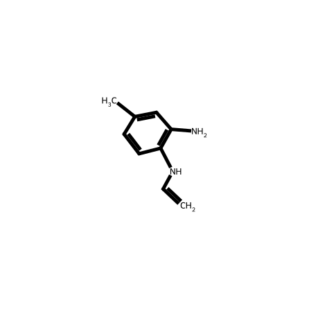 C=CNc1ccc(C)cc1N